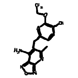 Cc1nc2nonc2c(N)c1Cc1ccc(C#N)c(OCC(F)(F)F)n1